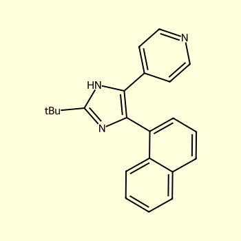 CC(C)(C)c1nc(-c2cccc3ccccc23)c(-c2ccncc2)[nH]1